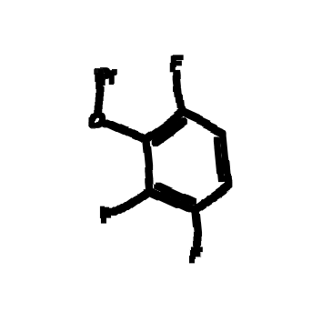 CC(C)Oc1c(F)ccc(F)c1F